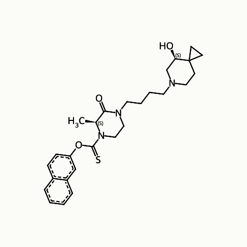 C[C@H]1C(=O)N(CCCCN2CCC3(CC3)[C@H](O)C2)CCN1C(=S)Oc1ccc2ccccc2c1